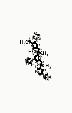 Cc1nc(C(C)C)c(-n2cncn2)cc1CC(C)(C)c1cc(-n2cnnc2)cc(CC(C)(C)c2cncc(-n3cnnc3)c2)n1